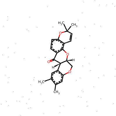 Cc1cc2c(cc1C)[C@@H]1C(=O)c3ccc4c(c3O[C@@H]1CO2)C=CC(C)(C)O4